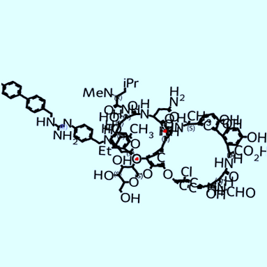 CCC1(NCc2ccc(/N=C(\N)NCc3ccc(-c4ccc(Cl)cc4)cc3)cc2)C[C@H](OC2C(O)[C@H](O)C(CO)O[C@H]2Oc2c3cc4cc2Oc2ccc(cc2Cl)[C@@H](O)[C@H](NC=O)C(=O)N[C@H](C(=O)O)c2cc(O)cc(O)c2-c2cc(ccc2O)[C@H](C)NC(=O)[C@@H]4NC(=O)C(CC(N)=O)NC(=O)[C@H](NC(=O)[C@@H](CC(C)C)NC)[C@H](O)c2ccc(cc2)O3)OC(C)[C@H]1O